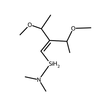 COC(C)C(=C[SiH2]N(C)C)C(C)OC